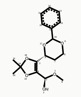 CO[C@@H](O)C1=C([C@H]2CCOC(c3ccccc3)O2)OC(C)(C)O1